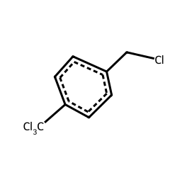 ClCc1ccc(C(Cl)(Cl)Cl)cc1